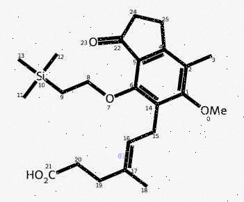 COc1c(C)c2c(c(OCC[Si](C)(C)C)c1C/C=C(\C)CCC(=O)O)C(=O)CC2